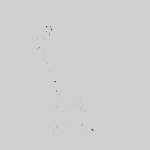 C#CCNC(=O)CCCCCO[C@H]1[C@@H](O)[C@@H](O)[C@@H](OC)O[C@@H]1CO[C@H]1O[C@H](CO[C@H]2O[C@H](CO)[C@@H](O)[C@@H](O)[C@H]2O)[C@@H](OCCCCCC(=O)NCCOCCOCCNC(=O)C2CCC(CN3C(=O)C=CC3=O)CC2)[C@@H](O)[C@H]1O